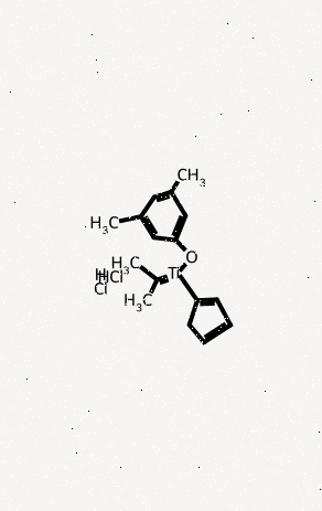 C[C](C)=[Ti]([O]c1cc(C)cc(C)c1)[C]1=CC=CC1.Cl.Cl